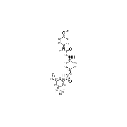 COC1CCC(N(C)C(=O)CN[C@H]2CC[C@H](CNC(=O)c3cc(CF)cc(C(F)(F)F)c3)CC2)CC1